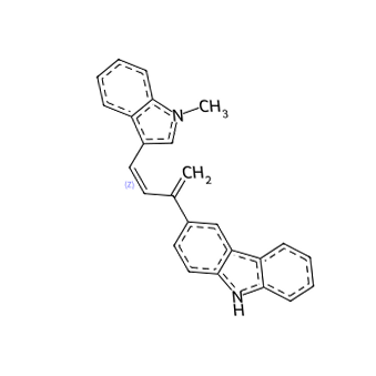 C=C(/C=C\c1cn(C)c2ccccc12)c1ccc2[nH]c3ccccc3c2c1